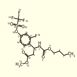 CCCCOC(=O)NC(CC(=O)OC)c1ccc(OS(=O)(=O)C(F)(F)F)cc1F